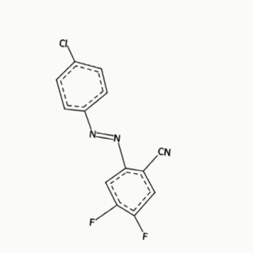 N#Cc1cc(F)c(F)cc1N=Nc1ccc(Cl)cc1